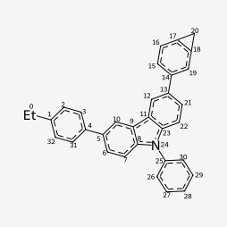 CCc1ccc(-c2ccc3c(c2)c2cc(-c4ccc5c(c4)C5)ccc2n3-c2ccccc2)cc1